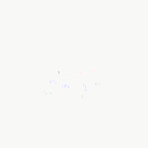 CCCCCCCCCC(=O)N[C@@H](Cc1ccccc1)C(=O)N[C@@H](CC(C)C)C(=O)N[C@H](C(=O)OCc1ccccc1)C(C)C